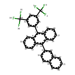 FC(F)(F)c1cc(-c2c3ccccc3c(-c3ccc4ccccc4c3)c3ccccc23)cc(C(F)(F)F)c1